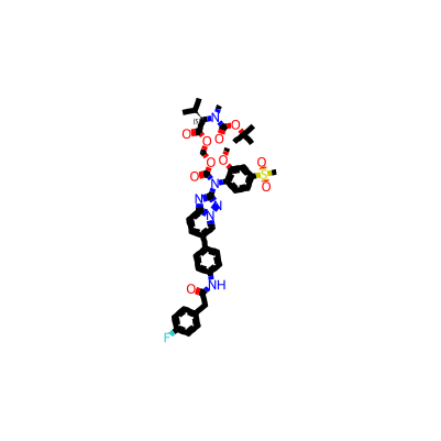 COc1cc(S(C)(=O)=O)ccc1N(C(=O)OCOC(=O)[C@H](C(C)C)N(C)C(=O)OC(C)(C)C)c1nc2ccc(-c3ccc(NC(=O)Cc4ccc(F)cc4)cc3)cn2n1